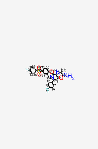 CCC(C(N)=O)N(C)c1ccc(-c2ccc(F)cc2)n(Cc2cccc(S(=O)(=O)c3ccc(F)cc3)c2)c1=O